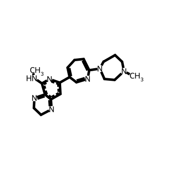 CNc1nc(C2=CCC=C(N3CCCN(C)CC3)N=C2)cc2c1=NCCN=2